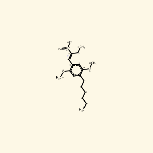 CCCCCCc1cc(OC)c(/C=C(\CC)[N+](=O)[O-])cc1OC